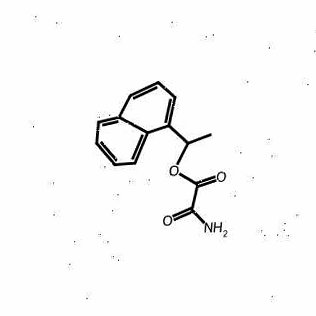 CC(OC(=O)C(N)=O)c1cccc2ccccc12